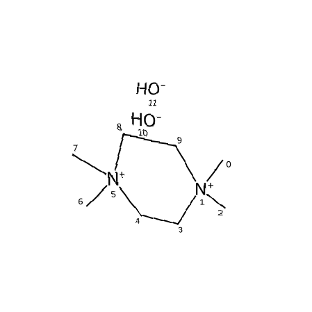 C[N+]1(C)CC[N+](C)(C)CC1.[OH-].[OH-]